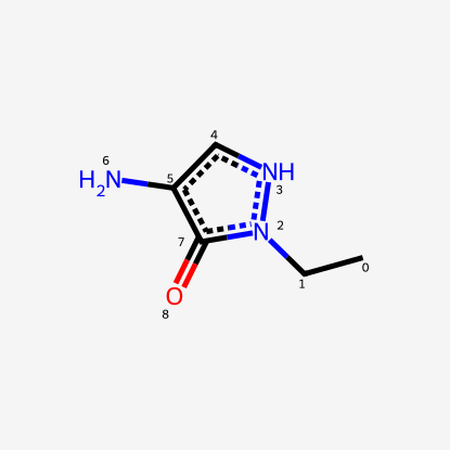 CCn1[nH]cc(N)c1=O